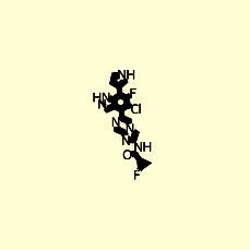 O=C(Nc1cn2cc(-c3c(Cl)c(F)c(-c4cc[nH]c4)c4[nH]ncc34)ncc2n1)C1CC1F